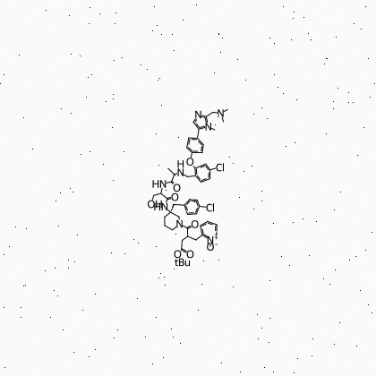 CC(NCc1ccc(Cl)cc1Oc1ccc(-c2cnc(CN(C)C)n2C)cc1)C(=O)NC(CO)C(=O)N[C@@]1(Cc2ccc(Cl)cc2)CCCN(C(=O)C(CC(=O)OC(C)(C)C)Cc2cccc[n+]2[O-])C1